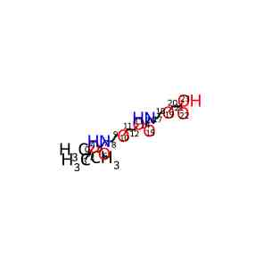 CC(C)(C)OC(=O)NCCOCCOC(=O)NCCOCC(=O)O